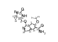 CC(C)Oc1cc2c(OC[C@@H]3NC(=O)[C@H](F)C34CC4)nccc2cc1C(N)=O